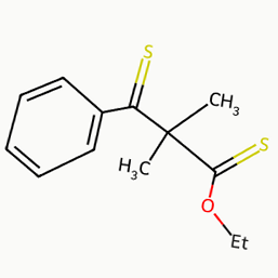 CCOC(=S)C(C)(C)C(=S)c1ccccc1